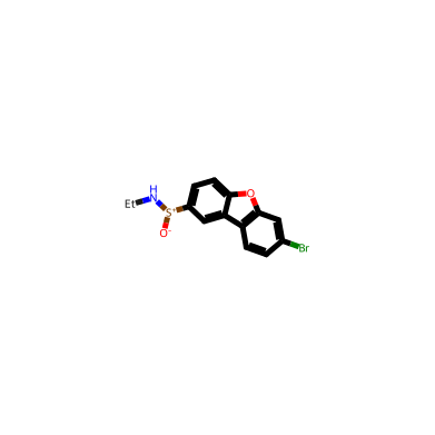 CCN[S+]([O-])c1ccc2oc3cc(Br)ccc3c2c1